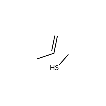 C=CC.CS